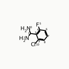 NC(N)c1c(F)cccc1Cl